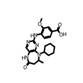 COc1cc(C(=O)O)ccc1Nc1ncc2c(n1)N(C1CCCCC1)C(C)CC(=O)N2